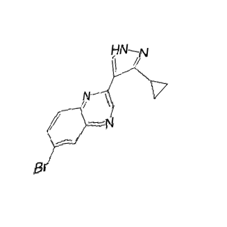 Brc1ccc2nc(-c3c[nH]nc3C3CC3)cnc2c1